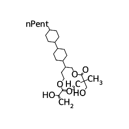 C=C(O)C(=O)OCCC(COC(=O)C(C)(C)CO)C1CCC(C2CCC(CCCCC)CC2)CC1